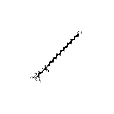 CCCCCCCCCCCCCCCCCCNC(=O)OCCC[Si](C)(C)Cl